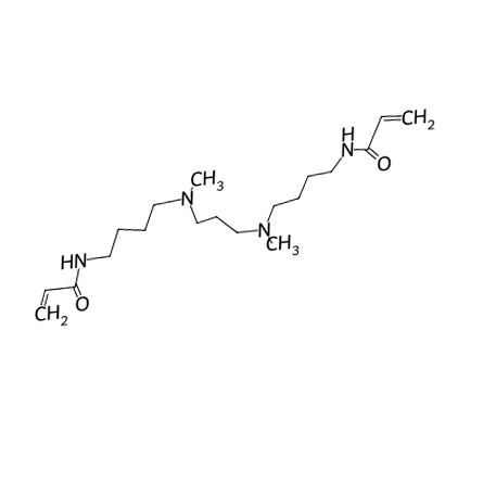 C=CC(=O)NCCCCN(C)CCCN(C)CCCCNC(=O)C=C